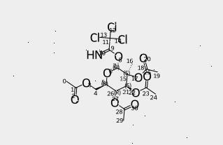 CC(=O)OC[C@H]1O[C@H](OC(=N)C(Cl)(Cl)Cl)[C@@](C)(OC(C)=O)[C@@H](OC(C)=O)[C@@H]1OC(C)=O